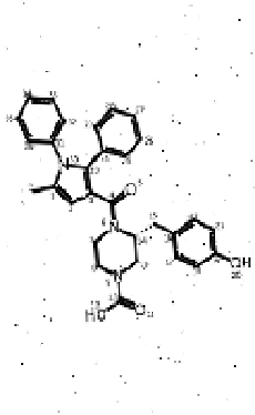 Cc1cc(C(=O)N2CCN(C(=O)O)C[C@H]2Cc2ccc(O)cc2)c(-c2ccccc2)n1-c1ccccc1